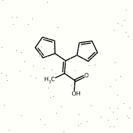 CC(C(=O)O)=C(C1C=CC=C1)C1C=CC=C1